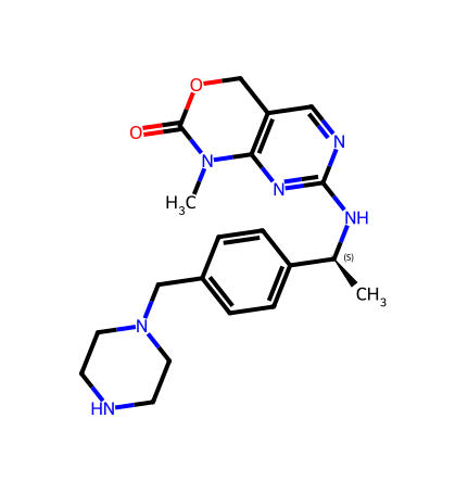 C[C@H](Nc1ncc2c(n1)N(C)C(=O)OC2)c1ccc(CN2CCNCC2)cc1